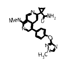 CNc1ncc(-c2ccc(Oc3ncn(C)n3)cc2)c2cc(C3(C(N)=O)CC3)ncc12